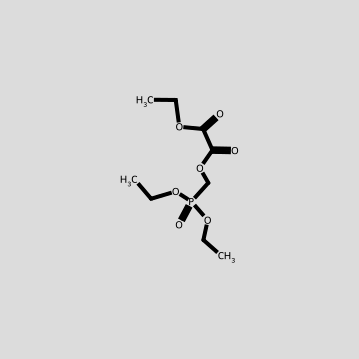 CCOC(=O)C(=O)OCP(=O)(OCC)OCC